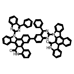 O=c1[nH]c2ccccc2c2c3cc(-c4ccc5nc(-n6c7ccccc7c7c8ccccc8c8c9ccccc9[nH]c(=O)c8c76)nc(-c6ccccc6)c5c4)ccc3c3c(c4ccccc4n3-c3nc(-c4ccccc4)c4ccccc4n3)c12